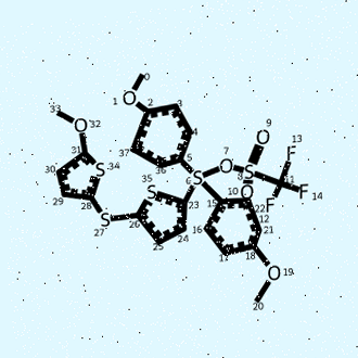 COc1ccc(S(OS(=O)(=O)C(F)(F)F)(c2ccc(OC)cc2)c2ccc(Sc3ccc(OC)s3)s2)cc1